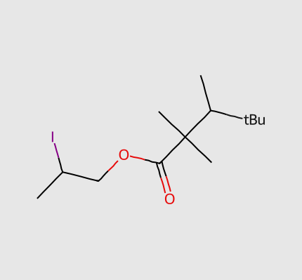 CC(I)COC(=O)C(C)(C)C(C)C(C)(C)C